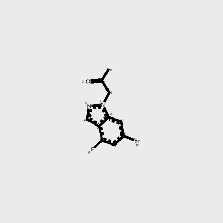 CC(=O)Cn1ncc2c(F)cc(Br)cc21